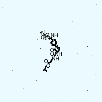 CC(C)COC(=O)CCNC(=O)N[C@H]1CCN(c2ccc(C(=N)NOC(=O)N(C)C)cc2)C1=O